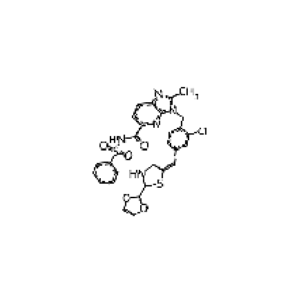 Cc1nc2ccc(C(=O)NS(=O)(=O)c3ccccc3)nc2n1Cc1ccc(C=C2CNC(C3OC=CO3)S2)cc1Cl